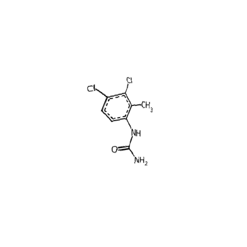 Cc1c(NC(N)=O)ccc(Cl)c1Cl